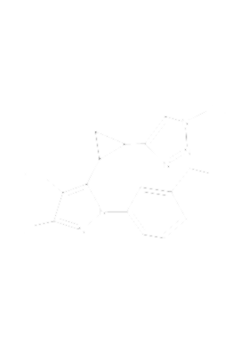 Cc1nn(-c2cccc(CO)c2)c(C2CC2c2cn(C)nn2)c1C(=O)O